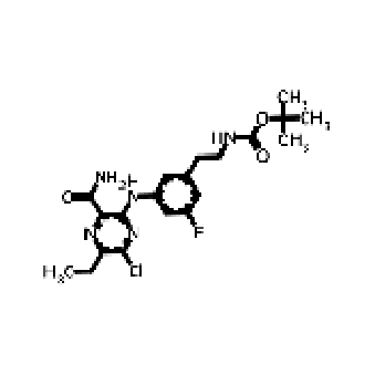 CCc1nc(C(N)=O)c(Nc2cc(F)cc(CCNC(=O)OC(C)(C)C)c2)nc1Cl